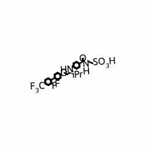 CC(C)[C@@H](COc1ccc(-c2ccc(C(F)(F)F)cc2F)c(F)c1)Nc1ccc(C(=O)NCCS(=O)(=O)O)cc1